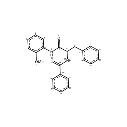 COc1ccccc1NC(=O)C(Cc1ccccc1)NC(=O)c1ccccc1